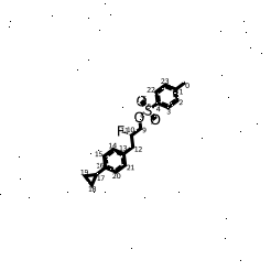 Cc1ccc(S(=O)(=O)OC[C@@H](F)Cc2ccc(C3CC3)cc2)cc1